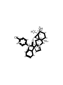 C[C@@]12C[C@@]13C[C@@H]1N(CC[C@@]14C(=O)N(c1ccc(Cl)nc1)C1=CC=CCC14)C[C@@H]3CC[C@@H]2O